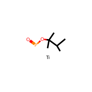 CC(C)C(C)(C)OP=O.[Ti]